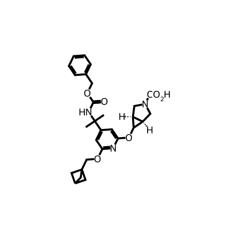 CC(C)(NC(=O)OCc1ccccc1)c1cc(OCC23CC(C2)C3)nc(OC2[C@H]3CN(C(=O)O)C[C@@H]23)c1